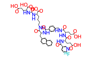 O=C(O)CCC(NC(=O)NC(CCCCNC(=O)C(Cc1ccc2ccccc2c1)NC(=O)c1ccc(CNC(=O)C(CCC(=O)O)NC(=O)C(CCC(=O)O)NC(=O)c2ccc([18F])nc2)cc1)C(=O)O)C(=O)O